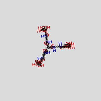 CC1C(OCCCC(=O)NCCCCCCNC(=O)OCCCC(C)(CCCOC(=O)NCCCCCCNC(=O)CCCOC2OC(CO)C(O)C(O)C2C)CCCOC(=O)NCCCCCCNC(=O)CCCOC2OC(CO)C(O)C(O)C2C)OC(CO)C(O)C1O